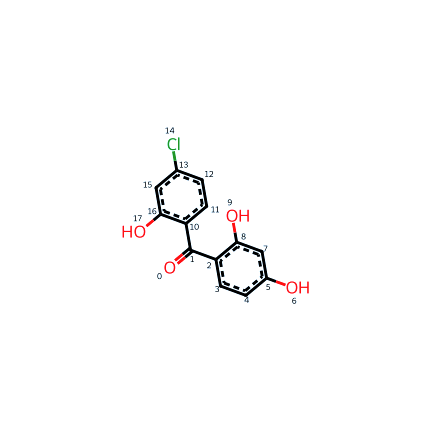 O=C(c1ccc(O)cc1O)c1ccc(Cl)cc1O